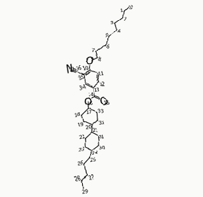 CCCCCCCCCOc1ccc(C(=O)OC2CCC(C3CCC(CCCCC)CC3)CC2)cc1C#N